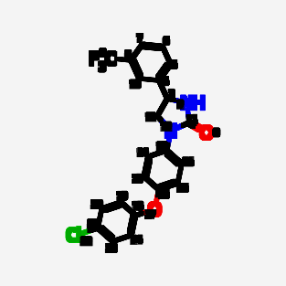 O=C1NC(c2cccc(C(F)(F)F)c2)CN1c1ccc(Oc2ccc(Cl)cc2)cc1